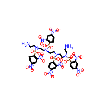 NCCN(CCN(CCN(CCN(CCN)S(=O)(=O)c1ccc([N+](=O)[O-])cc1[N+](=O)[O-])S(=O)(=O)c1ccc([N+](=O)[O-])cc1[N+](=O)[O-])S(=O)(=O)c1ccc([N+](=O)[O-])cc1[N+](=O)[O-])S(=O)(=O)c1ccc([N+](=O)[O-])cc1[N+](=O)[O-]